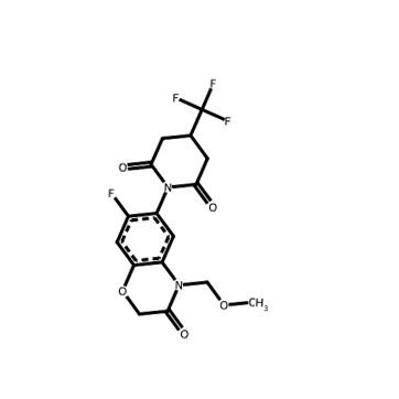 COCN1C(=O)COc2cc(F)c(N3C(=O)CC(C(F)(F)F)CC3=O)cc21